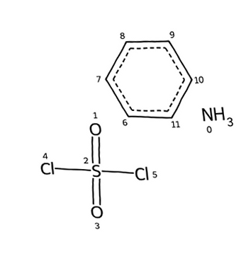 N.O=S(=O)(Cl)Cl.c1ccccc1